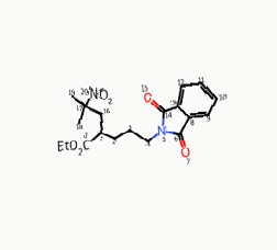 CCOC(=O)C(CCCN1C(=O)c2ccccc2C1=O)CC(C)(C)[N+](=O)[O-]